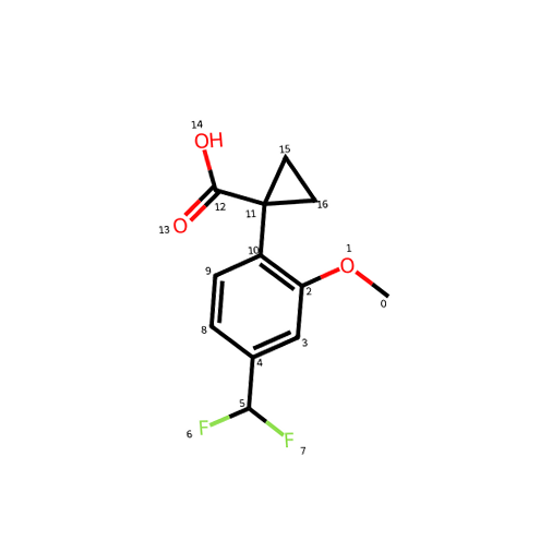 COc1cc(C(F)F)ccc1C1(C(=O)O)CC1